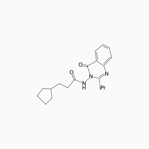 CC(C)c1nc2ccccc2c(=O)n1NC(=O)CCC1CCCC1